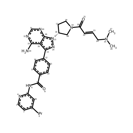 CC(C)c1ccnc(NC(=O)c2ccc(-c3nn([C@@H]4CCN(C(=O)/C=C/CN(C)C)C4)c4ncnc(N)c34)cc2)c1